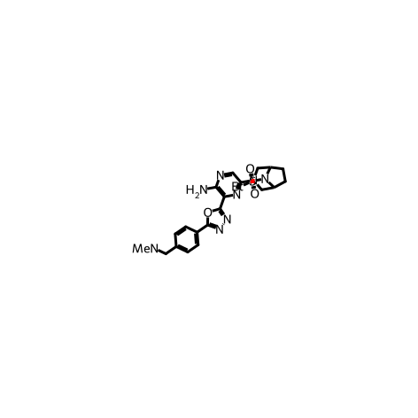 CCS(=O)(=O)N1C2CCC1CN(c1cnc(N)c(-c3nnc(-c4ccc(CNC)cc4)o3)n1)C2